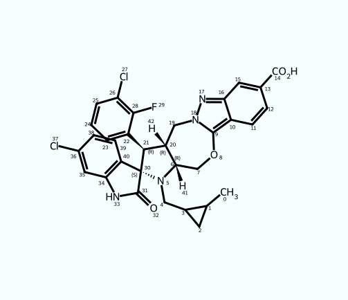 CC1CC1CN1[C@H]2COc3c4ccc(C(=O)O)cc4nn3C[C@H]2[C@H](c2cccc(Cl)c2F)[C@]12C(=O)Nc1cc(Cl)ccc12